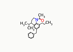 CCCc1cc(Cc2ccccc2)cc2c1N(C(C)=O)CCC2C(C)C